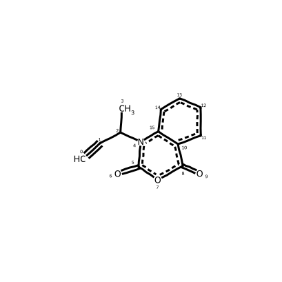 C#CC(C)n1c(=O)oc(=O)c2ccccc21